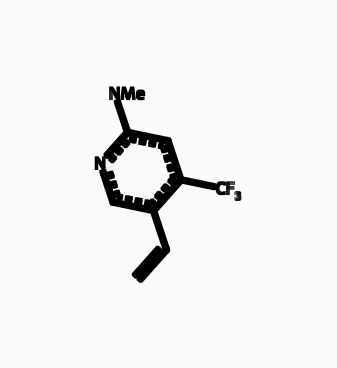 C=Cc1cnc(NC)cc1C(F)(F)F